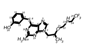 CC(Cn1cnc2c(Sc3cccc(O)c3)nc(N)nc21)OCPCC(F)(F)F